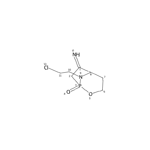 N=C1CP2(=O)OCCC1N2CCCl